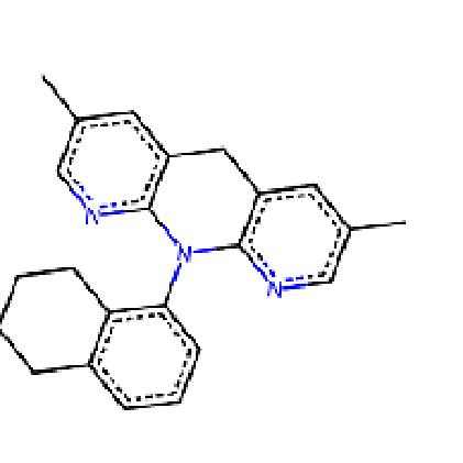 Cc1cnc2c(c1)Cc1cc(C)cnc1N2c1cccc2c1CCCC2